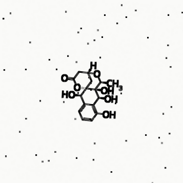 C[C@@H]1O[C@H]2CC(=O)O[C@@]3(C2)[C@H](O)c2cccc(O)c2[C@H](O)[C@@]13O